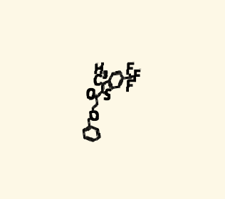 Cc1c(C(=O)CCOCc2ccccc2)sc2cc(C(F)(F)F)ccc12